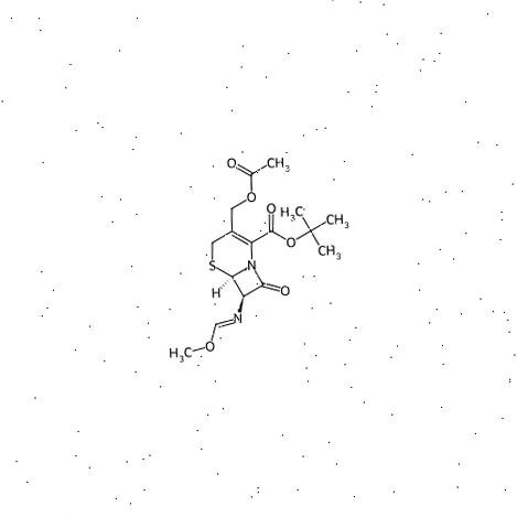 COC=N[C@@H]1C(=O)N2C(C(=O)OC(C)(C)C)=C(COC(C)=O)CS[C@H]12